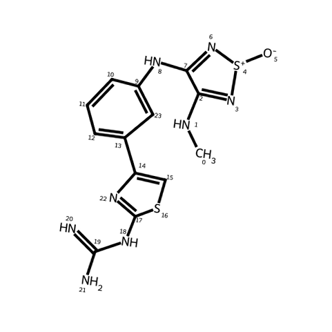 CNc1n[s+]([O-])nc1Nc1cccc(-c2csc(NC(=N)N)n2)c1